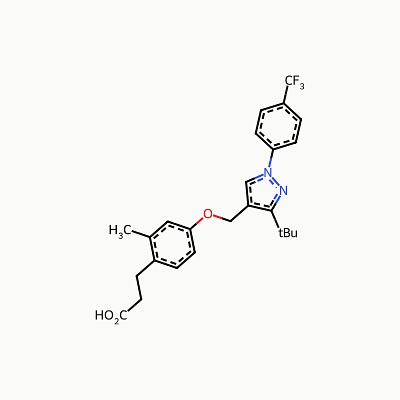 Cc1cc(OCc2cn(-c3ccc(C(F)(F)F)cc3)nc2C(C)(C)C)ccc1CCC(=O)O